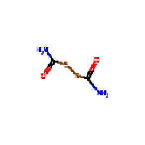 NC(=O)SSC(N)=O